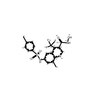 Cc1ccc(S(=O)(=O)Nc2cc(C)c3ncc(C(=O)NO)c(C(F)(F)F)c3c2)cc1